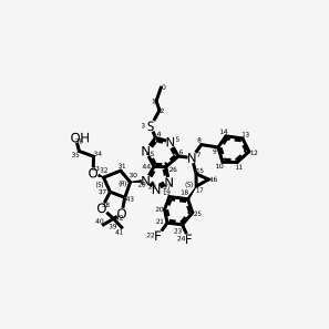 CCCSc1nc(N(Cc2ccccc2)C2C[C@H]2c2ccc(F)c(F)c2)c2nnn([C@@H]3C[C@H](OCCO)C4OC(C)(C)OC43)c2n1